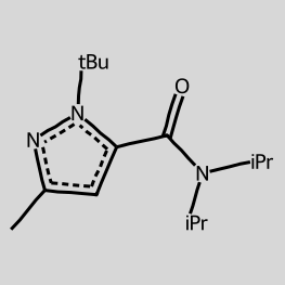 Cc1cc(C(=O)N(C(C)C)C(C)C)n(C(C)(C)C)n1